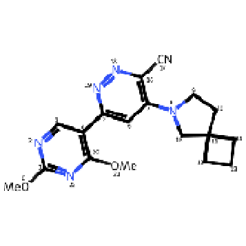 COc1ncc(-c2cc(N3CCC4(CCC4)C3)c(C#N)nn2)c(OC)n1